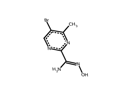 Cc1nc(C(N)=NO)ncc1Br